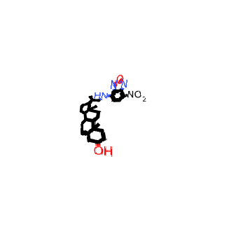 CC(CNc1ccc([N+](=O)[O-])c2nonc12)C1CCC2C3CC=C4CC(O)CCC4(C)C3CCC12C